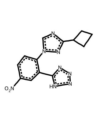 O=[N+]([O-])c1ccc(-n2cnc(C3CCC3)n2)c(-c2nnn[nH]2)c1